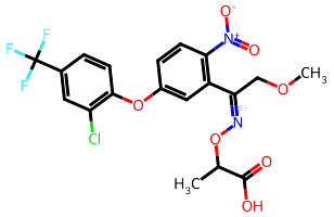 COC/C(=N/OC(C)C(=O)O)c1cc(Oc2ccc(C(F)(F)F)cc2Cl)ccc1[N+](=O)[O-]